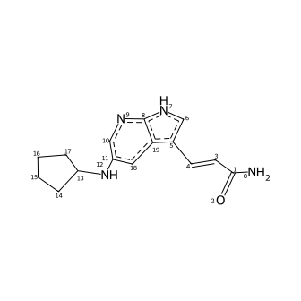 NC(=O)C=Cc1c[nH]c2ncc(NC3CCCC3)cc12